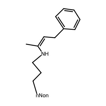 CCCCCCCCCCCCNC(C)=CCc1ccccc1